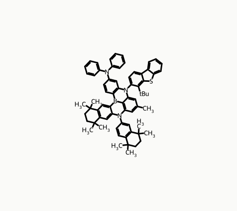 Cc1cc2c3c(c1)N(c1ccc4c(sc5ccccc54)c1C(C)(C)C)c1cc(N(c4ccccc4)c4ccccc4)ccc1B3c1cc3c(cc1N2c1ccc2c(c1)C(C)(C)CCC2(C)C)C(C)(C)CCC3(C)C